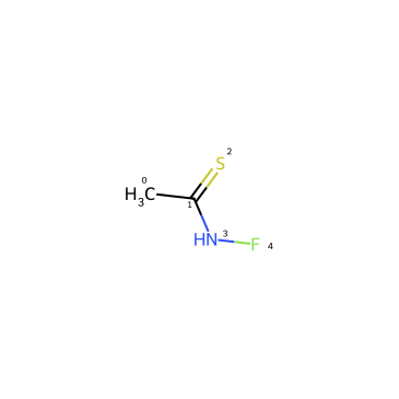 CC(=S)NF